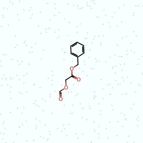 O=COCC(=O)OCc1ccccc1